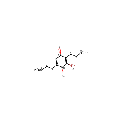 CCCCCCCCCCCCC1=CC(=O)C(CCCCCCCCCCCC)=C(Br)C1=O